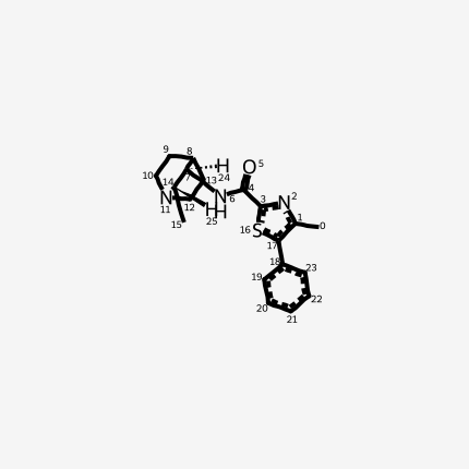 Cc1nc(C(=O)N[C@@H]2C3CCN(CC3)[C@H]2C)sc1-c1ccccc1